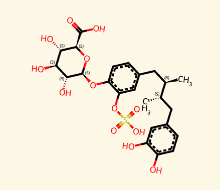 C[C@H](Cc1ccc(O[C@@H]2O[C@H](C(=O)O)[C@@H](O)[C@H](O)[C@H]2O)c(OS(=O)(=O)O)c1)[C@@H](C)Cc1ccc(O)c(O)c1